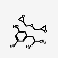 C(OCC1CO1)C1CO1.CC(C)Cc1cc(O)cc(O)c1